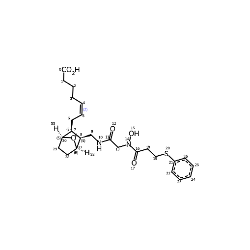 O=C(O)CCC/C=C\C[C@H]1[C@@H](CNC(=O)CN(O)C(=O)CCSc2ccccc2)[C@H]2CC[C@@H]1O2